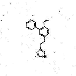 O=[C]c1ccc(CCc2c[nH]cn2)cc1-c1ccccc1